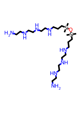 C[Si](C)(CCCNCCNCCNCCN)O[Si](C)(C)CCCNCCNCCNCCN